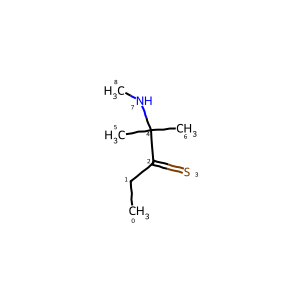 CCC(=S)C(C)(C)NC